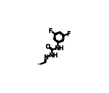 [CH2]C=NNC(=O)Nc1cc(F)cc(F)c1